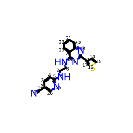 N#Cc1ccc(NCCNc2nc(-c3ccsc3)nc3ccccc23)nc1